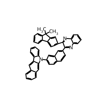 CC1(C)c2ccccc2-c2ccc(-c3nc4ccccc4nc3-c3ccc4ccc(-n5c6ccccc6c6cc7ccccc7cc65)cc4c3)cc21